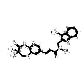 Cc1c(CN(C)C(=O)/C=C/c2cnc3c(c2)OCC(C)(C)C(=O)N3)oc2ccccc12